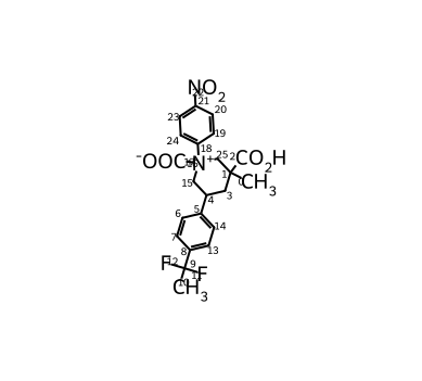 CC1(C(=O)O)CC(c2ccc(C(C)(F)F)cc2)C[N+](C(=O)[O-])(c2ccc([N+](=O)[O-])cc2)C1